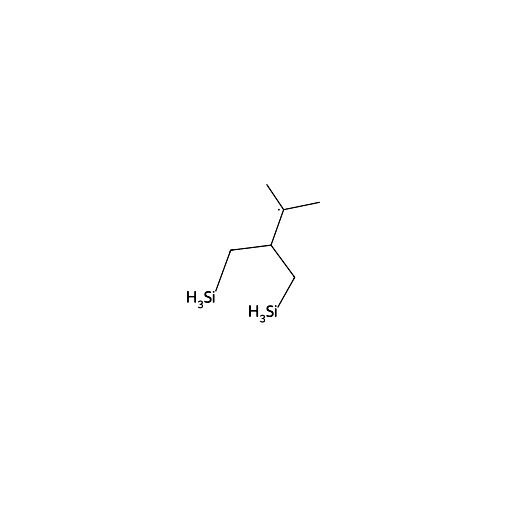 C[C](C)C(C[SiH3])C[SiH3]